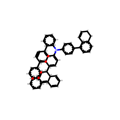 CC1CC(N(c2ccc(-c3cccc4c3C=CCC4)cc2)c2ccccc2C2=CCC(c3ccccc3)C#C2)=CC=C1C1C=c2ccccc2=C2C=CC=CC21